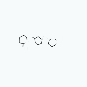 CC1CCC[C@@H](OC2CCCC(O[C@@H]3CCC[C@@H](C)O3)C2)O1